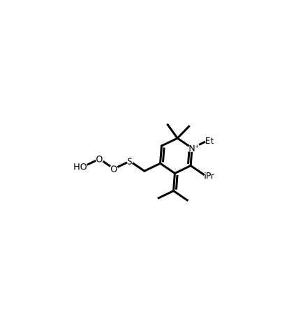 CC[N+]1=C(C(C)C)C(=C(C)C)C(CSOOO)=CC1(C)C